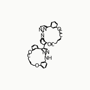 C1=C\COc2cccc(c2)Nc2ncc(-c3ccc4cc3OCC/C=C/CCOc3cccc(c3)-c3ccnc(n3)N4)c(n2)-c2cccc(c2)OCC/1